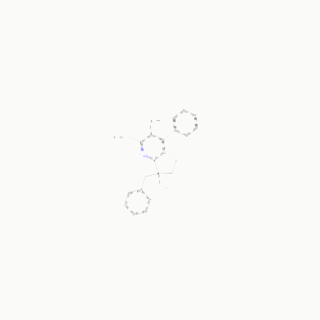 CCCCCc1nc2c(c(-c3ccc(F)cc3)c1CCCCC)CCC2(C#N)Cc1ccccc1